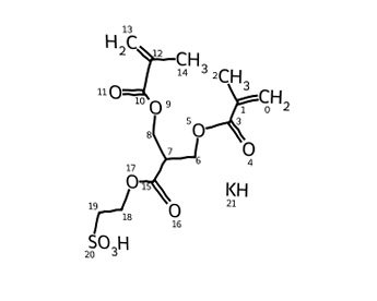 C=C(C)C(=O)OCC(COC(=O)C(=C)C)C(=O)OCCS(=O)(=O)O.[KH]